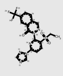 CCS(=O)(=O)c1ccc(-n2cncn2)nc1-n1ncc2ccc(C(F)(F)F)cc2c1=O